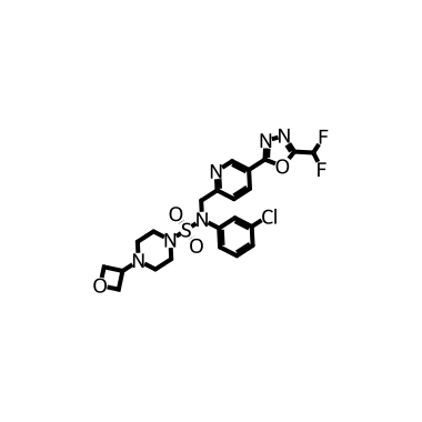 O=S(=O)(N1CCN(C2COC2)CC1)N(Cc1ccc(-c2nnc(C(F)F)o2)cn1)c1cccc(Cl)c1